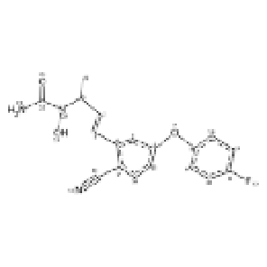 CC(C=Cc1cc(Oc2ccc(F)cc2)ccc1C#N)N(O)C(N)=O